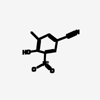 Cc1cc(C#N)cc([N+](=O)[O-])c1O